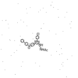 CC(=O)NCCNc1cc(N2CCN(C(=O)c3ccc(-c4ccccc4)cc3)CC2)nc(-c2ccc(Cl)cc2)n1